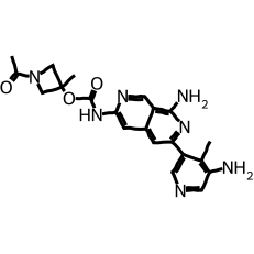 CC(=O)N1CC(C)(OC(=O)Nc2cc3cc(-c4cncc(N)c4C)nc(N)c3cn2)C1